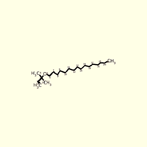 C=CC(C)(C)OCCCCCCCCCCCCCCCC